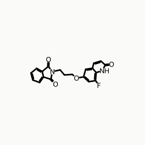 O=C1c2ccccc2C(=O)N1CCCOc1cc(F)c2[nH]c(=O)ccc2c1